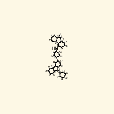 CC1(C)c2ccccc2-c2c(Nc3ccc(-c4ccc5c(c4)c4ccccc4n5-c4ccccc4)cc3)cccc21